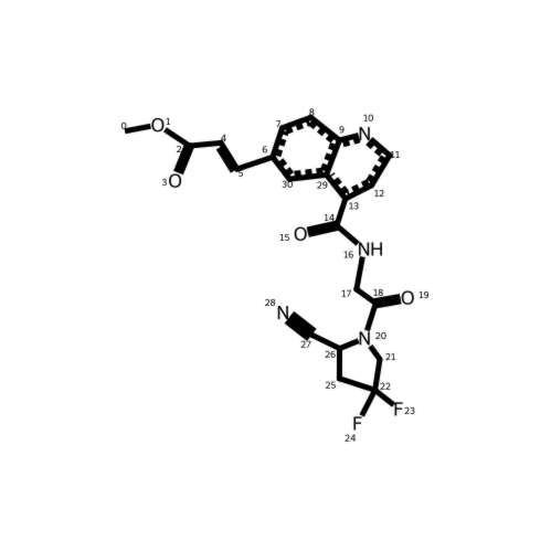 COC(=O)C=Cc1ccc2nccc(C(=O)NCC(=O)N3CC(F)(F)CC3C#N)c2c1